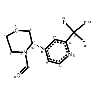 O=CN1CCOC[C@@H]1c1ccnc(C(F)(F)F)c1